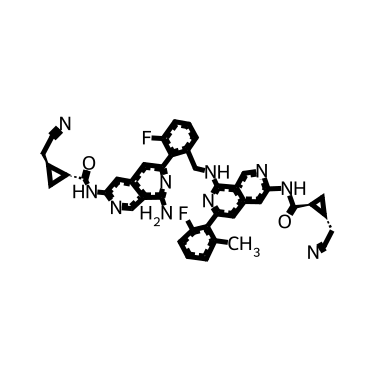 Cc1cccc(F)c1-c1cc2cc(NC(=O)[C@H]3C[C@@H]3CC#N)ncc2c(NCc2cccc(F)c2-c2cc3cc(NC(=O)[C@@H]4C[C@H]4CC#N)ncc3c(N)n2)n1